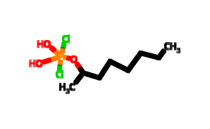 CCCCCCC(C)OP(O)(O)(Cl)Cl